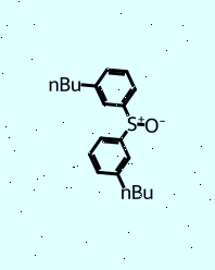 CCCCc1cccc([S+]([O-])c2cccc(CCCC)c2)c1